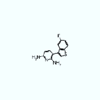 Nc1ccc(-c2csc3ccc(F)cc23)c(N)n1